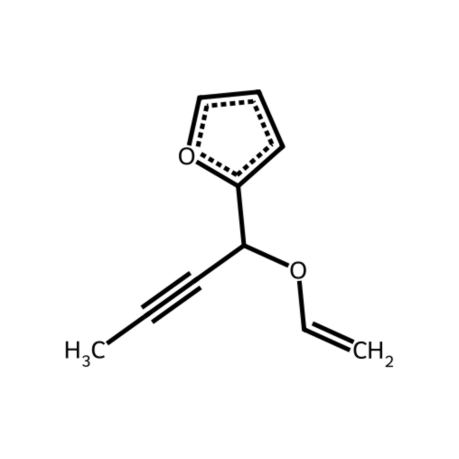 C=COC(C#CC)c1ccco1